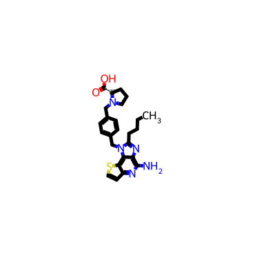 CCCCc1nc2c(N)nc3ccsc3c2n1Cc1ccc(CN2CCC[C@H]2C(=O)O)cc1